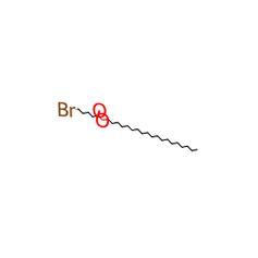 CCCCCCCCCCCCCCCCCCCOC(=O)CCCCBr